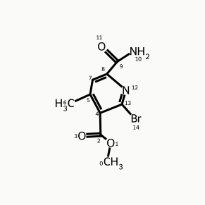 COC(=O)c1c(C)cc(C(N)=O)nc1Br